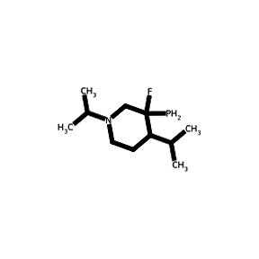 CC(C)C1CCN(C(C)C)CC1(F)P